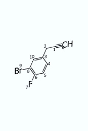 C#CCc1ccc(F)c(Br)c1